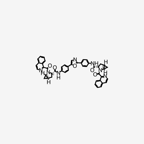 O=C(Nc1ccc(-c2cnc(-c3ccc(NC(=O)[C@@H]4C[C@@H]5C[C@@H]5N4C(=O)c4nccc5ccccc45)cc3)o2)cc1)[C@@H]1C[C@@H]2C[C@@H]2N1C(=O)c1nccc2ccccc12